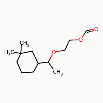 CC(OCCOC=O)C1CCCC(C)(C)C1